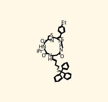 CCc1ccc(-c2sc3nc2C2=N[C@@](C)(CS2)C(=O)N[C@@H](C(C)C)C(=O)NC(/C=C/CCSC(c2ccccc2)(c2ccccc2)c2ccccc2)CC(=O)NC3)cc1